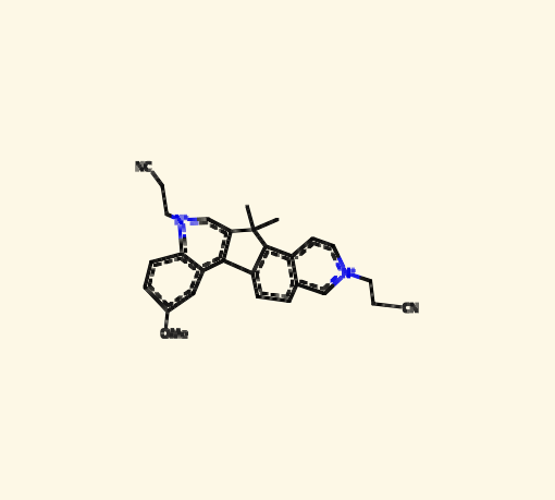 COc1ccc2c(c1)c1c(c[n+]2CCC#N)C(C)(C)c2c-1ccc1c[n+](CCC#N)ccc21